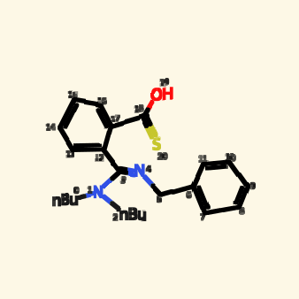 CCCCN(CCCC)C(=NCc1ccccc1)c1ccccc1C(O)=S